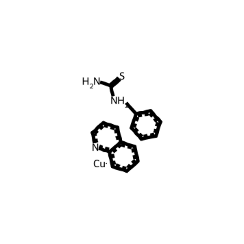 Cc1ccccc1.NC(N)=S.[Cu].c1ccc2ncccc2c1